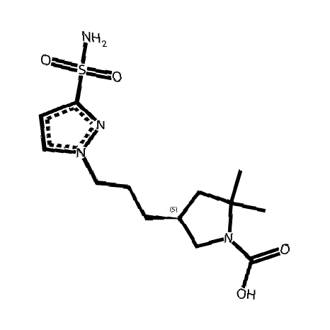 CC1(C)C[C@H](CCCn2ccc(S(N)(=O)=O)n2)CN1C(=O)O